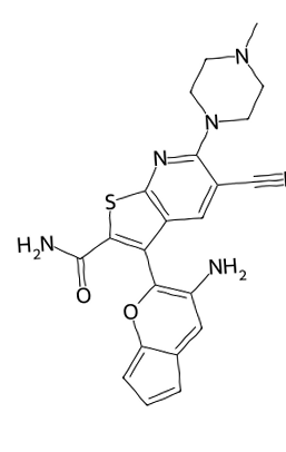 CN1CCN(c2nc3sc(C(N)=O)c(-c4oc5cccc-5cc4N)c3cc2C#N)CC1